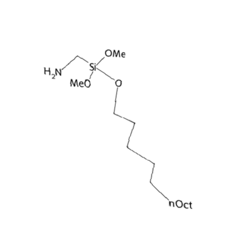 CCCCCCCCCCCCCO[Si](CN)(OC)OC